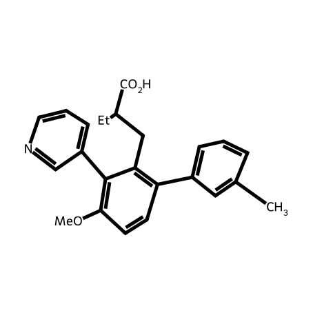 CCC(Cc1c(-c2cccc(C)c2)ccc(OC)c1-c1cccnc1)C(=O)O